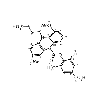 COc1ccc2c(c1)C(C(=O)Oc1c(C)cc(C(=O)O)cc1C)c1cccc(OC)c1N2CCCS(=O)(=O)O